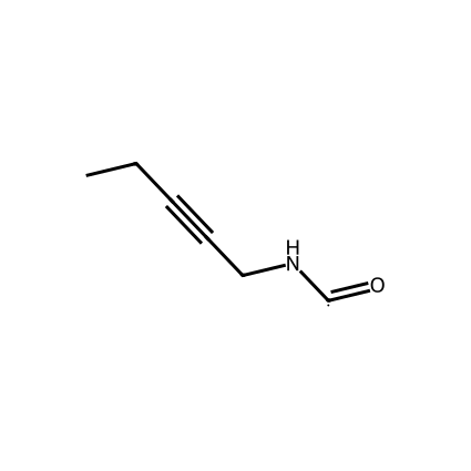 CCC#CCN[C]=O